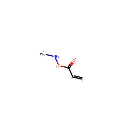 [CH2]CCNOC(=O)C=C